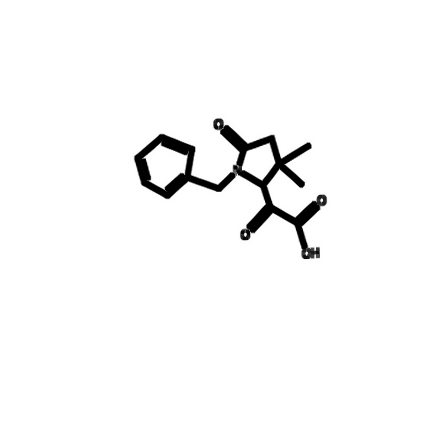 CC1(C)CC(=O)N(Cc2ccccc2)C1C(=O)C(=O)O